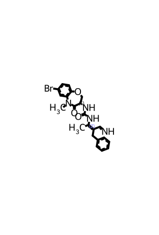 C/C(NC(=O)N[C@H]1COc2ccc(Br)cc2N(C)C1=O)=C(/C=N)Cc1ccccc1